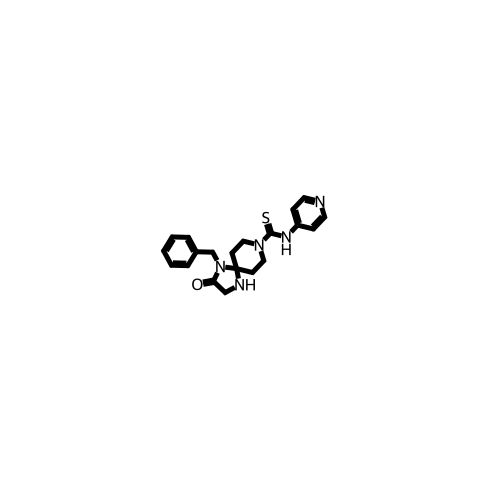 O=C1CNC2(CCN(C(=S)Nc3ccncc3)CC2)N1Cc1ccccc1